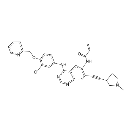 C=CC(=O)Nc1cc2c(Nc3ccc(OCc4ccccn4)c(Cl)c3)ncnc2cc1C#CC1CCN(C)C1